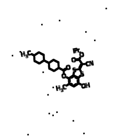 Cc1cc(O)c2c(c1OC(=O)C1CCC(C3CCC(C)CC3)CC1)S/C(=C(/C#N)C(=O)OC(C)C)S2